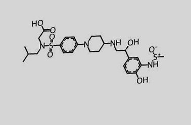 CC(C)CN(CC(=O)O)S(=O)(=O)c1ccc(N2CCC(NC[C@@H](O)c3ccc(O)c(N[S+](C)[O-])c3)CC2)cc1